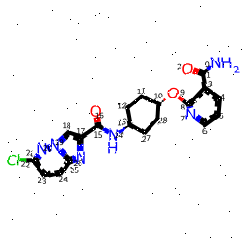 NC(=O)c1cccnc1O[C@H]1CC[C@H](NC(=O)c2cn3nc(Cl)ccc3n2)CC1